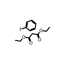 CCOC(=O)CC(=O)OCC.Fc1ccccc1